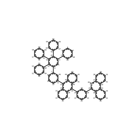 c1ccc(-c2cc(-c3cccc(-c4c5ccccc5c(-c5cccc(-c6nc7ccccc7c7ccccc67)c5)c5ccccc45)c3)c(-c3ccccc3)c(-c3ccccc3)c2-c2ccccc2)cc1